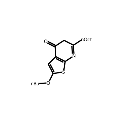 CCCCCCCCC1=Nc2sc(OCCCC)cc2C(=O)C1